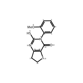 COc1ccccc1-n1c(S)nc2c(c1=O)SCC2